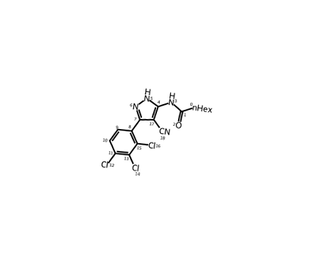 CCCCCCC(=O)Nc1[nH]nc(-c2ccc(Cl)c(Cl)c2Cl)c1C#N